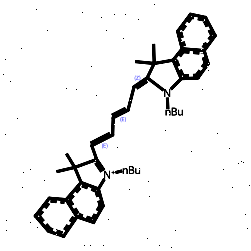 CCCCN1\C(=C/C=C/C=C/C2=[N+](CCCC)c3ccc4ccccc4c3C2(C)C)C(C)(C)c2c1ccc1ccccc21